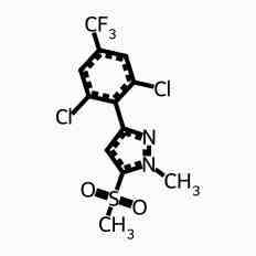 Cn1nc(-c2c(Cl)cc(C(F)(F)F)cc2Cl)cc1S(C)(=O)=O